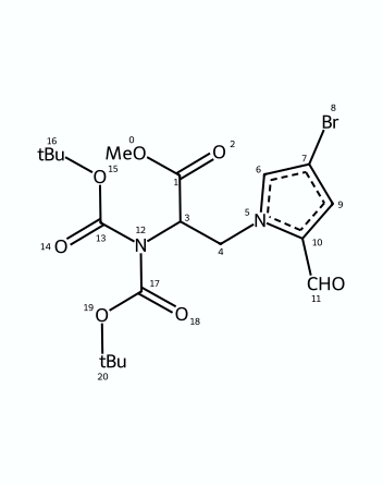 COC(=O)C(Cn1cc(Br)cc1C=O)N(C(=O)OC(C)(C)C)C(=O)OC(C)(C)C